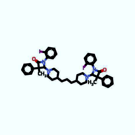 CC1(c2ccccc2)C(=O)N(c2ccccc2I)C1N1CCC(CCCC2CCN(C3N(c4ccccc4I)C(=O)C3(C)c3ccccc3)CC2)CC1